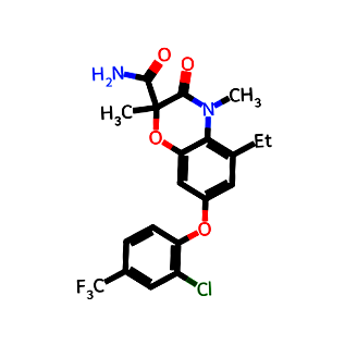 CCc1cc(Oc2ccc(C(F)(F)F)cc2Cl)cc2c1N(C)C(=O)C(C)(C(N)=O)O2